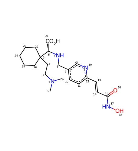 CN(C)CCC1([C@H](NCc2ccc(C=CC(=O)NO)nc2)C(=O)O)CCCCC1